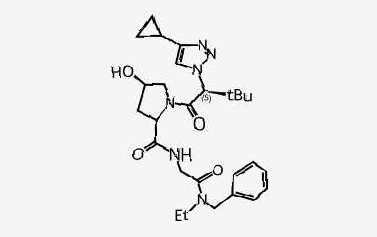 CCN(Cc1ccccc1)C(=O)CNC(=O)C1CC(O)CN1C(=O)[C@@H](n1cc(C2CC2)nn1)C(C)(C)C